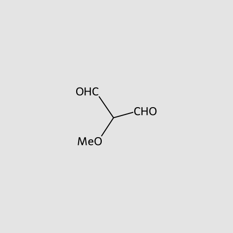 COC(C=O)C=O